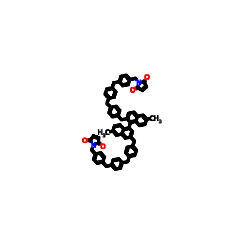 Cc1ccc2c(-c3c(Cc4ccc(Cc5ccc(Cc6ccc(CN7C(=O)C=CC7=O)cc6)cc5)cc4)ccc4cc(C)ccc34)cc(Cc3ccc(Cc4ccc(Cc5ccc(CN6C(=O)C=CC6=O)cc5)cc4)cc3)cc2c1